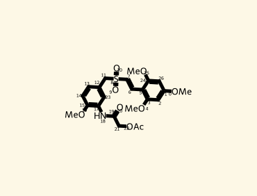 COc1cc(OC)c(/C=C/S(=O)(=O)Cc2ccc(OC)c(NC(=O)COC(C)=O)c2)c(OC)c1